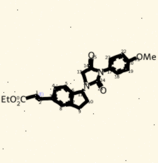 CCOC(=O)/C=C/c1ccc2c(c1)CCC2N1CC(=O)N(c2ccc(OC)cc2)C1=O